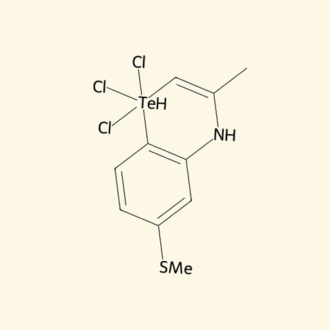 CSc1ccc2c(c1)NC(C)=C[TeH]2(Cl)(Cl)Cl